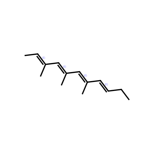 C/C=C(C)/C=C(C)/C=C(C)/C=C/CC